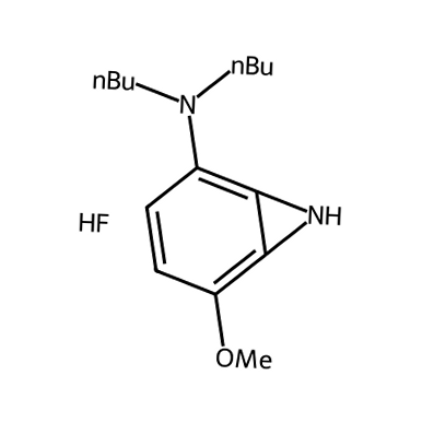 CCCCN(CCCC)c1ccc(OC)c2c1N2.F